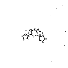 CC(CC([SiH2][SiH3])C1CCCC1)C1CCCC1